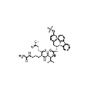 CC(C)C(NC(=O)OC(Cc1ccc(OC(C)(C)C)cc1)C1c2ccccc2-c2ccccc21)C(=O)NC(CCCNC(N)=O)C(=O)NCC(=O)O